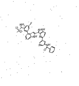 CS(=O)(=O)C(N)c1cc(F)cc(-c2cccc3[nH]c(-c4n[nH]c5ccc(-c6cncc(NC(=O)c7ccccc7)c6)nc45)cc23)c1